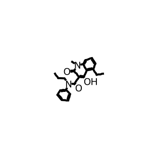 CCCN(C(=O)c1c(O)c2c(CC)cccc2n(C)c1=O)c1ccccc1